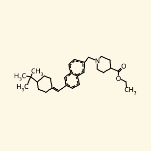 CCOC(=O)C1CCN(Cc2ccc3cc(C=C4CCC(C(C)(C)C)CC4)ccc3c2)CC1